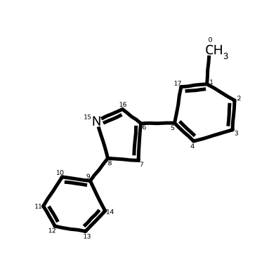 Cc1cccc(C2=CC(c3ccccc3)N=C2)c1